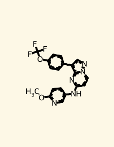 COc1ccc(Nc2ccn3ncc(-c4ccc(OC(F)(F)F)cc4)c3n2)cn1